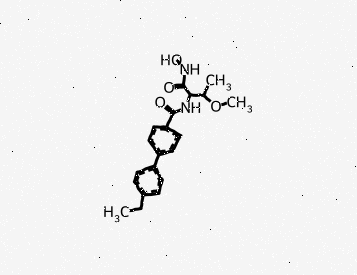 CCc1ccc(-c2ccc(C(=O)NC(C(=O)NO)C(C)OC)cc2)cc1